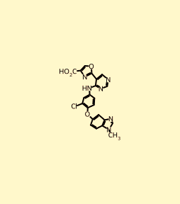 Cn1cnc2cc(Oc3ccc(Nc4ncncc4-c4nc(C(=O)O)co4)cc3Cl)ccc21